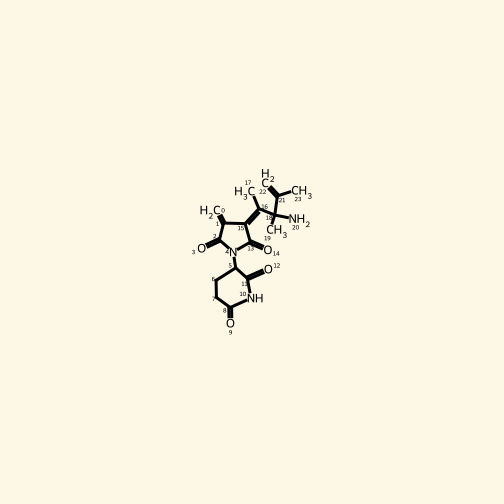 C=C1C(=O)N(C2CCC(=O)NC2=O)C(=O)/C1=C(/C)C(C)(N)C(=C)C